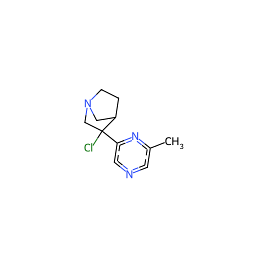 Cc1cncc(C2(Cl)CN3CCC2C3)n1